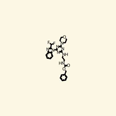 O=C(NCCNc1nc(N2CCOCC2)nc(-n2c(C(F)F)nc3ccccc32)n1)OCc1ccccc1